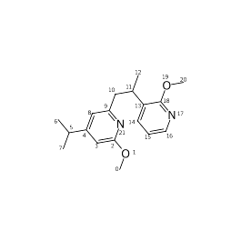 COc1cc(C(C)C)cc(CC(C)c2cccnc2OC)n1